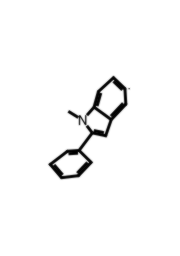 Cn1c(-c2ccccc2)cc2c[c]ccc21